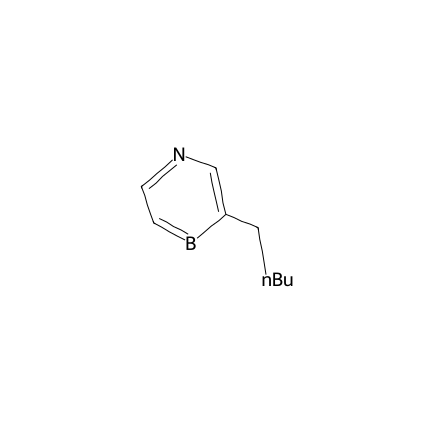 CCCCCc1bccnc1